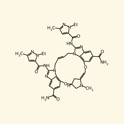 CCn1nc(C)cc1C(=O)Nc1nc2cc(C(N)=O)cc3c2n1C/C=C/Cn1c(NC(=O)c2cc(C)nn2CC)nc2cc(C(N)=O)cc(c21)O[C@@H]1C/C(=C\O3)N(C)C1